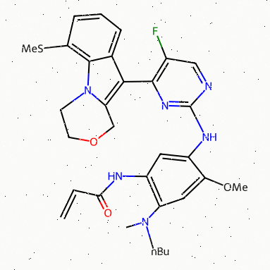 C=CC(=O)Nc1cc(Nc2ncc(F)c(-c3c4n(c5c(SC)cccc35)CCOC4)n2)c(OC)cc1N(C)CCCC